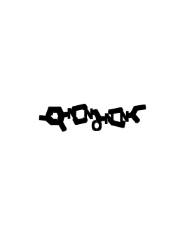 CCC(C)N1CCN(C(=O)CN2CCN(c3ccc(C)cc3C)CC2)CC1